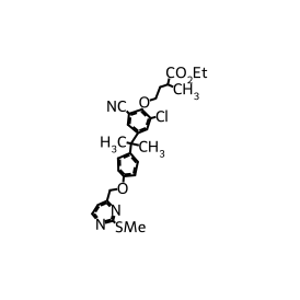 CCOC(=O)C(C)CCOc1c(Cl)cc(C(C)(C)c2ccc(OCc3ccnc(SC)n3)cc2)cc1C#N